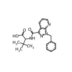 CC(C)(C)C(NC(=O)c1nn(Cc2ccccc2)c2ncccc12)C(=O)O